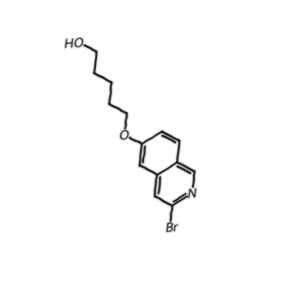 OCCCCCOc1ccc2cnc(Br)cc2c1